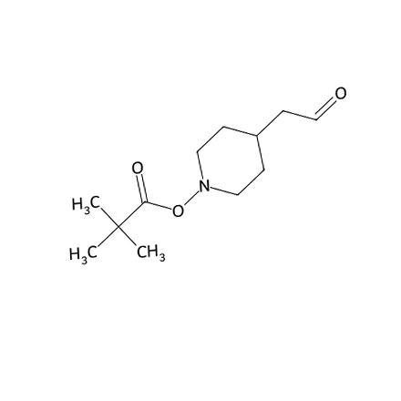 CC(C)(C)C(=O)ON1CCC(CC=O)CC1